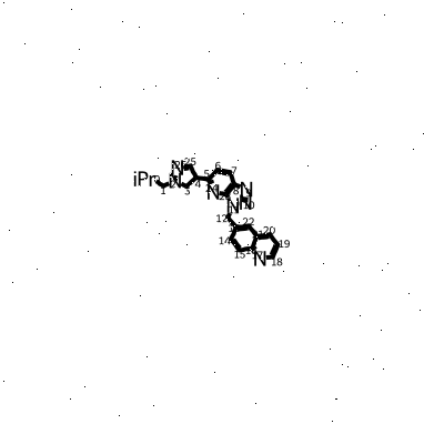 CC(C)CN1CC(c2ccc3nnn(Cc4ccc5ncccc5c4)c3n2)C=N1